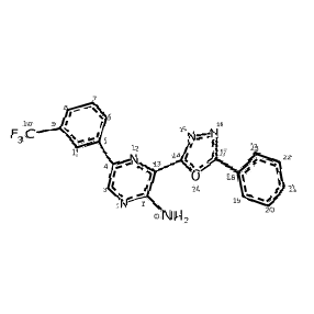 Nc1ncc(-c2cccc(C(F)(F)F)c2)nc1-c1nnc(-c2ccccc2)o1